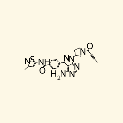 CC#CC(=O)N1CCC(n2nc(-c3ccc(C(=O)Nc4cc(C)ns4)cc3)c3c(N)ncnc32)C1